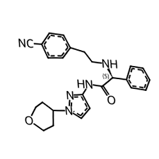 N#Cc1ccc(CCN[C@H](C(=O)Nc2ccn(C3CCOCC3)n2)c2ccccc2)cc1